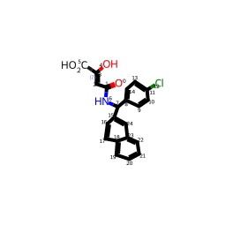 O=C(/C=C(\O)C(=O)O)NC(c1ccc(Cl)cc1)c1ccc2ccccc2c1